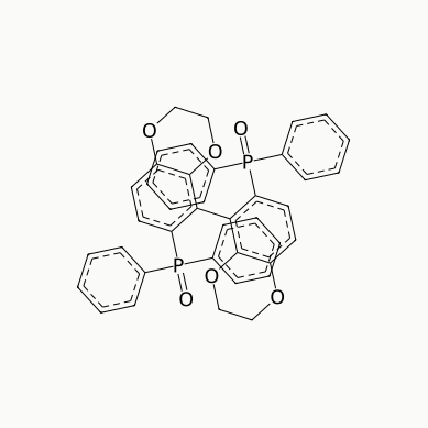 O=P(c1ccccc1)(c1ccccc1)c1ccc2c(c1-c1c(P(=O)(c3ccccc3)c3ccccc3)ccc3c1OCCO3)OCCO2